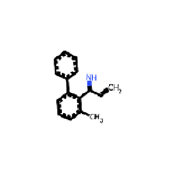 C=CC(=N)c1c(C)cccc1-c1ccccc1